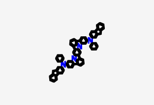 c1ccc(N(c2ccc3c(c2)Cc2ccccc2-3)c2ccc3c4cccc5c6cc7c(cc6n(c3c2)c45)c2cccc3c4ccc(N(c5ccccc5)c5ccc6c(c5)Cc5ccccc5-6)cc4n7c32)cc1